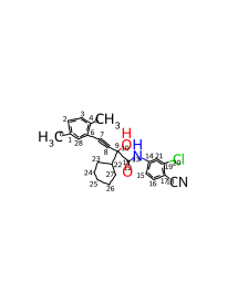 Cc1ccc(C)c(C#CC(O)(C(=O)Nc2ccc(C#N)c(Cl)c2)C2CCCCC2)c1